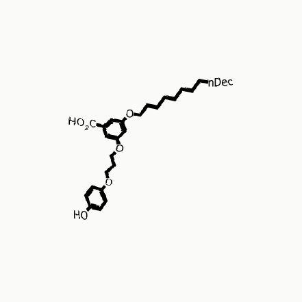 CCCCCCCCCCCCCCCCCCOc1cc(OCCCOc2ccc(O)cc2)cc(C(=O)O)c1